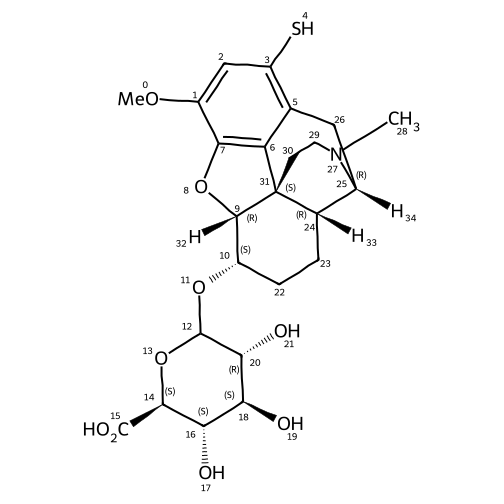 COc1cc(S)c2c3c1O[C@H]1[C@@H](OC4O[C@H](C(=O)O)[C@@H](O)[C@H](O)[C@H]4O)CC[C@H]4[C@@H](C2)N(C)CC[C@@]341